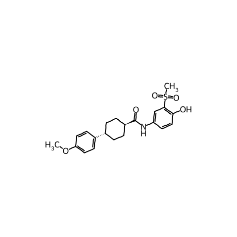 COc1ccc([C@H]2CC[C@H](C(=O)Nc3ccc(O)c(S(C)(=O)=O)c3)CC2)cc1